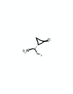 CCC1C[C@H]1C(N)N